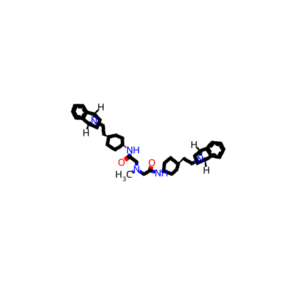 CN(CC(=O)N[C@H]1CC[C@H](CCN2[C@@H]3CC[C@H]2c2ccccc23)CC1)CC(=O)N[C@H]1CC[C@H](CCN2[C@@H]3CC[C@H]2c2ccccc23)CC1